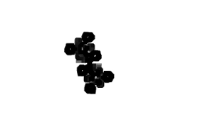 O=C1C(=c2[nH]/c(=c3/[nH]c(=C4C(=O)N(c5ccccc5)C(=O)N(c5ccccc5)C4=O)c4ccccc34)c3ccccc23)C(=O)N(c2ccccc2)C(=O)N1c1ccccc1